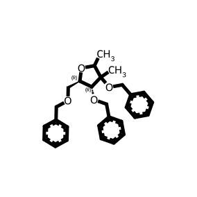 CC1O[C@H](COCc2ccccc2)[C@@H](OCc2ccccc2)C1(C)OCc1ccccc1